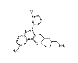 Cc1ccc2nc(-c3cccc(Cl)c3)n(CC3CCCC(CN)C3)c(=O)c2c1